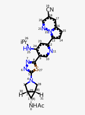 CC(=O)N[C@@H]1[C@@H]2CN(c3nnc(-c4cnc(-c5ccc6cc(C#N)cnn56)cc4NC(C)C)s3)C[C@@H]21